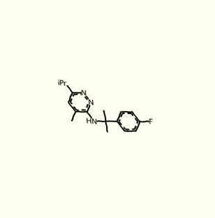 Cc1cc(C(C)C)nnc1NC(C)(C)c1ccc(F)cc1